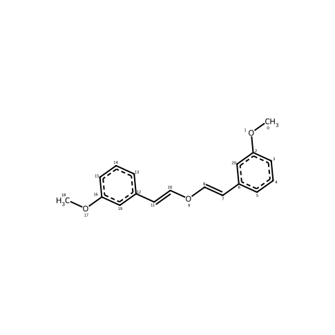 COc1cccc(/C=C/O/C=C/c2cccc(OC)c2)c1